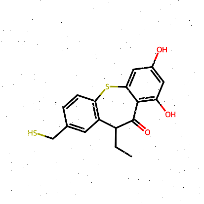 CCC1C(=O)c2c(O)cc(O)cc2Sc2ccc(CS)cc21